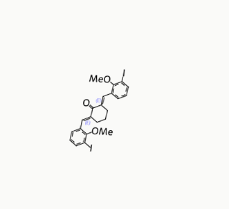 COc1c(I)cccc1/C=C1\CCC/C(=C\c2cccc(I)c2OC)C1=O